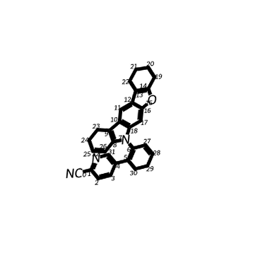 N#Cc1ccc(C2=C(n3c4c(c5cc6c7c(oc6cc53)CCCC7)CCC=C4)C=CCC2)cn1